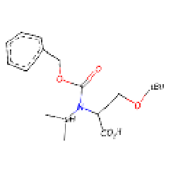 C[SiH](C)N(C(=O)OCc1ccccc1)C(COC(C)(C)C)C(=O)O